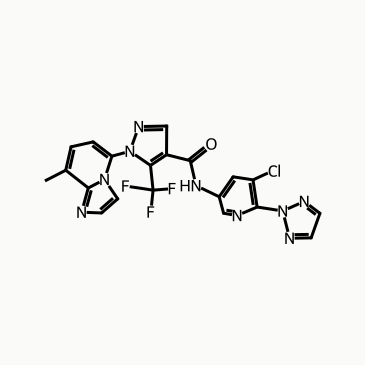 Cc1ccc(-n2ncc(C(=O)Nc3cnc(-n4nccn4)c(Cl)c3)c2C(F)(F)F)n2ccnc12